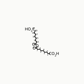 O=C(O)CCCCCCCC(=O)OC(=O)CCCCCCCC(=O)O